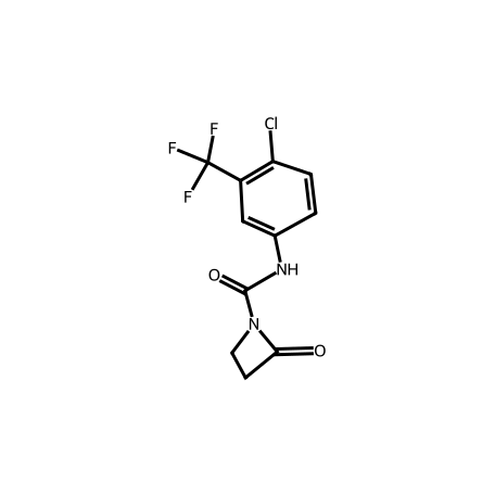 O=C1CCN1C(=O)Nc1ccc(Cl)c(C(F)(F)F)c1